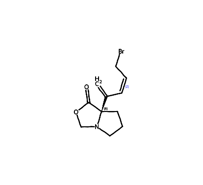 C=C(/C=C\CBr)[C@@]12CCCN1COC2=O